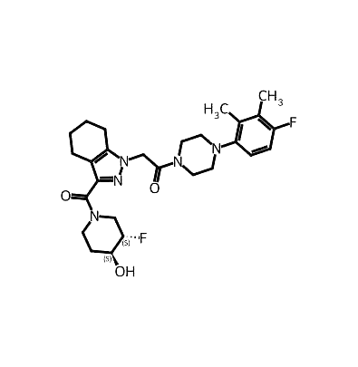 Cc1c(F)ccc(N2CCN(C(=O)Cn3nc(C(=O)N4CC[C@H](O)[C@@H](F)C4)c4c3CCCC4)CC2)c1C